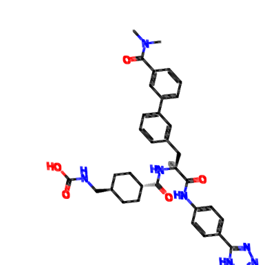 CN(C)C(=O)c1cccc(-c2cccc(C[C@H](NC(=O)[C@H]3CC[C@H](CNC(=O)O)CC3)C(=O)Nc3ccc(-c4nnn[nH]4)cc3)c2)c1